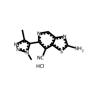 Cc1nnn(C)c1-c1ncc2nc(N)sc2c1C#N.Cl